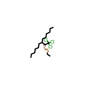 CCCCCCC(CCCCCC)[C@@H](SSCC)C(Cl)(Cl)Cl